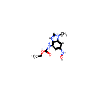 CCOC(=O)Nc1cc(N=O)cc2c1ncn2C